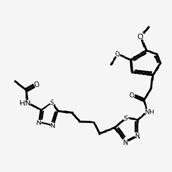 COc1ccc(CC(=O)Nc2nnc(CCCCc3nnc(NC(C)=O)s3)s2)cc1OC